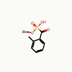 CCC(C)OP(=O)(O)C(=O)c1ccccc1C